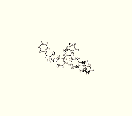 O=C(Cc1ccccc1)Nc1cccc(-c2nc3sccn3c2-c2ccnc(Nc3ccn[nH]3)n2)c1